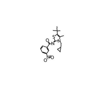 Cc1c(C(C)(C)C)s/c(=N\C(=O)c2cccc([N+](=O)[O-])c2)n1CC1CC1